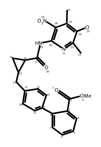 COC(=O)c1ccccc1-c1ccc(CC2CC2C(=O)Nc2nc(C)c(Cl)c(C)c2[N+](=O)[O-])cc1